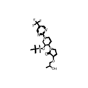 CC(O)COC1CCN(C2CCN(c3ncc(C(F)(F)F)cn3)CC2O[Si](C)(C)C(C)(C)C)C1=O